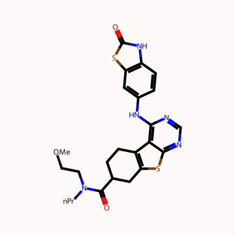 CCCN(CCOC)C(=O)C1CCc2c(sc3ncnc(Nc4ccc5[nH]c(=O)sc5c4)c23)C1